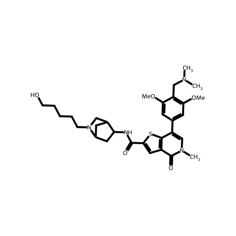 COc1cc(-c2cn(C)c(=O)c3cc(C(=O)NC4CC5CC4CN5CCCCCO)sc23)cc(OC)c1CN(C)C